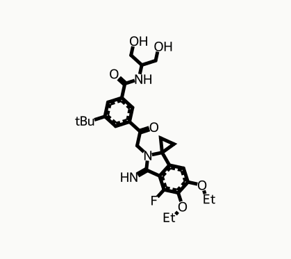 CCOc1cc2c(c(F)c1OCC)C(=N)N(CC(=O)c1cc(C(=O)NC(CO)CO)cc(C(C)(C)C)c1)C21CC1